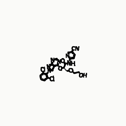 N#Cc1ccc(NC(=O)[C@H](COCCO)Oc2ncnc3nn(-c4c(Cl)cccc4Cl)cc23)nc1